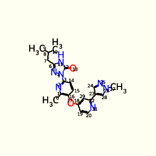 Cc1nc(-n2nc(CC(C)C)[nH]c2=O)ccc1Oc1ccnc(-c2cnn(C)c2)c1